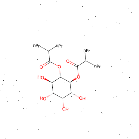 CCCC(CCC)C(=O)O[C@H]1[C@H](O)[C@H](O)[C@H](O)[C@@H](O)[C@@H]1OC(=O)C(CCC)CCC